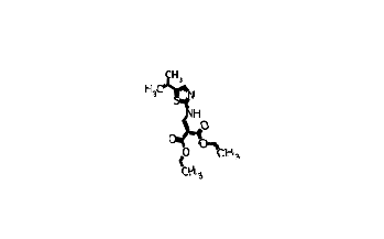 CCOC(=O)C(=CNc1ncc(C(C)C)s1)C(=O)OCC